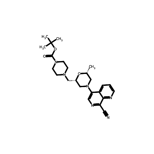 C[C@@H]1CN(c2cnc(C#N)c3ncccc23)C[C@H](CN2CCN(C(=O)OC(C)(C)C)CC2)O1